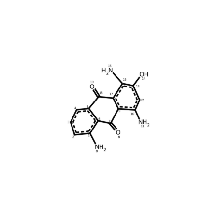 Nc1cccc2c1C(=O)c1c(N)cc(O)c(N)c1C2=O